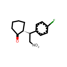 O=C1CCCC[C@@H]1C(C[N+](=O)[O-])c1ccc(F)cc1